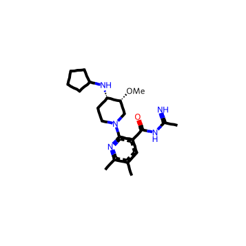 CO[C@@H]1CN(c2nc(C)c(C)cc2C(=O)NC(C)=N)CC[C@@H]1NC1CCCC1